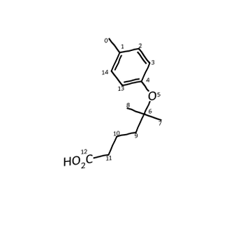 Cc1ccc(OC(C)(C)CCCC(=O)O)cc1